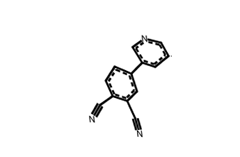 N#Cc1ccc(-c2c[c]cnc2)cc1C#N